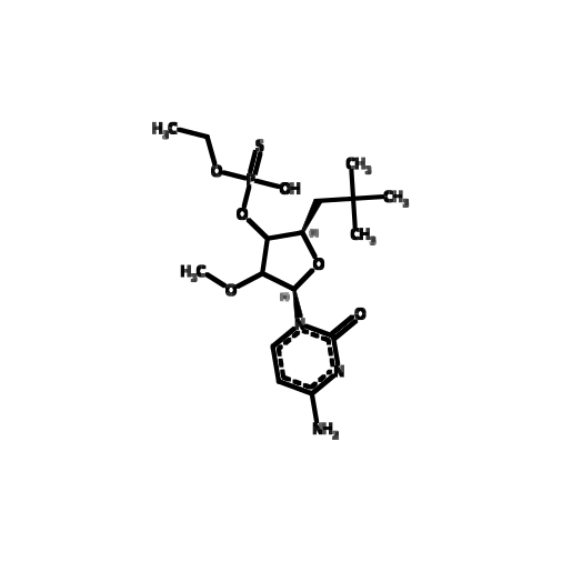 CCOP(O)(=S)OC1C(OC)[C@H](n2ccc(N)nc2=O)O[C@@H]1CC(C)(C)C